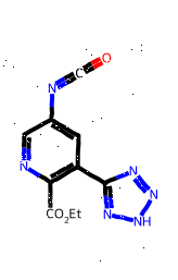 CCOC(=O)c1ncc(N=C=O)cc1-c1nn[nH]n1